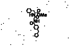 COC(=O)[C@H](Cc1ccccc1)NC(=O)CNC(=O)c1ccc(CC2C=CC=C2)cc1